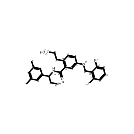 Cc1cc(C)cc(C(CC(C)C)NC(=O)c2cc(OCc3c(F)cccc3F)ccc2CCC(=O)O)c1